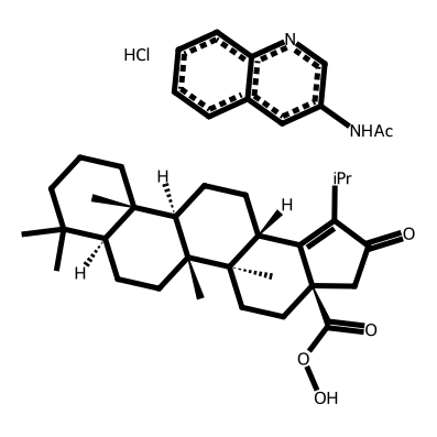 CC(=O)Nc1cnc2ccccc2c1.CC(C)C1=C2[C@H]3CC[C@@H]4[C@@]5(C)CCCC(C)(C)[C@@H]5CC[C@@]4(C)[C@]3(C)CC[C@@]2(C(=O)OO)CC1=O.Cl